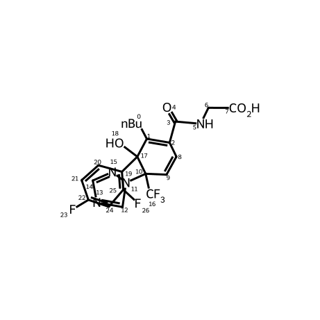 CCCCC1=C(C(=O)NCC(=O)O)C=CC(n2cncn2)(C(F)(F)F)C1(O)c1ccc(F)cc1F